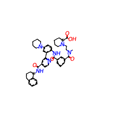 CN(CCN1CCCC[C@H]1C(=O)O)C(=O)c1cccc(C(=O)Nc2ccc(N3CCCCC3)cc2-c2cc(C(=O)N[C@H]3CCCc4ccccc43)ccn2)c1